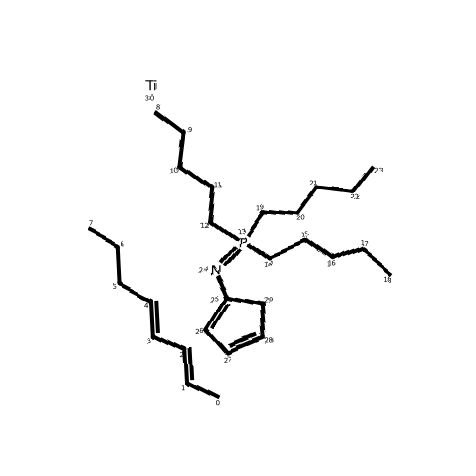 CC=CC=CCCC.CCCCCP(CCCCC)(CCCCC)=NC1=CC=CC1.[Ti]